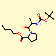 CCCCOC(=O)[C@@H]1CCCN1C(=O)[C@@H](C)NC(=O)OC(C)(C)C